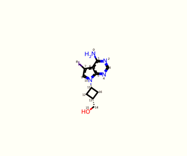 Nc1ncnc2c1c(I)cn2[C@H]1C[C@@H](CO)C1